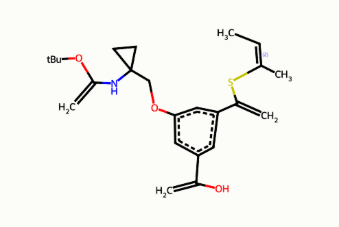 C=C(NC1(COc2cc(C(=C)O)cc(C(=C)S/C(C)=C\C)c2)CC1)OC(C)(C)C